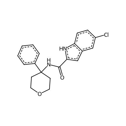 O=C(NC1(c2ccccc2)CCOCC1)c1cc2cc(Cl)ccc2[nH]1